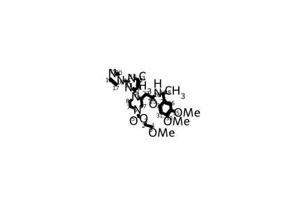 COCCOC(=O)N1CCN(c2cc(C)nc(-n3ccnc3)n2)C(CC(=O)NC(C)c2ccc(OC)c(OC)c2)C1